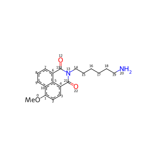 COc1ccc2c3c(cccc13)C(=O)N(CCCCCCN)C2=O